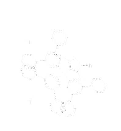 CC1=C([Si](c2cc(-c3ccccc3)cc(-c3ccccc3)c2)(c2cc(-c3ccccc3)cc(-c3ccccc3)c2)c2cc(-c3ccccc3)cc(-c3ccccc3)c2)C(C)=[C]([Ti+3])C1.[Cl-].[Cl-].[Cl-]